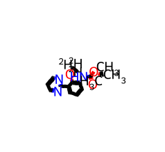 [2H]C([2H])([2H])Oc1c(NC(=O)OC(C)(C)C)cccc1-c1ncccn1